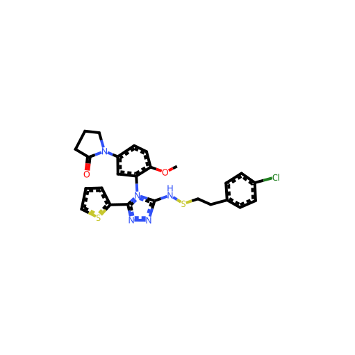 COc1ccc(N2CCCC2=O)cc1-n1c(NSCCc2ccc(Cl)cc2)nnc1-c1cccs1